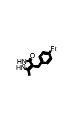 CCc1ccc(Cc2c(C)[nH][nH]c2=O)cc1